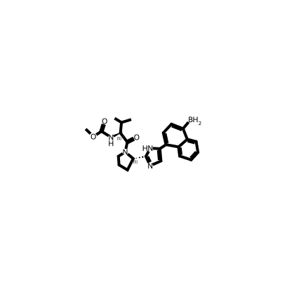 Bc1ccc(-c2cnc([C@@H]3CCCN3C(=O)[C@@H](NC(=O)OC)C(C)C)[nH]2)c2ccccc12